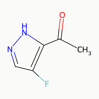 CC(=O)c1[nH]ncc1F